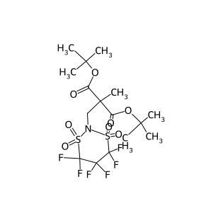 CC(C)(C)OC(=O)C(C)(CN1S(=O)(=O)C(F)(F)C(F)(F)C(F)(F)S1(=O)=O)C(=O)OC(C)(C)C